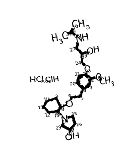 COc1cc(CCO[C@@H]2CCCC[C@@H]2N2CC[C@@H](O)C2)ccc1OCC(O)CNC(C)C.Cl.Cl